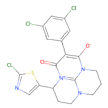 O=c1c(-c2cc(Cl)cc(Cl)c2)c([O-])n2c3[n+]1C(c1cnc(Cl)s1)CCN3CCC2